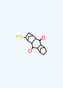 O=C1C2C3CCC(C3)C2C(=O)C2C3CC(CC3S)C12